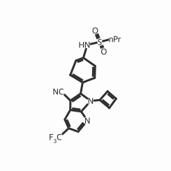 CCCS(=O)(=O)Nc1ccc(-c2c(C#N)c3cc(C(F)(F)F)cnc3n2C2=CC=C2)cc1